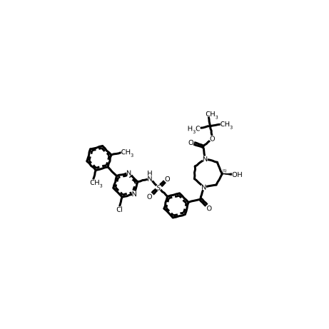 Cc1cccc(C)c1-c1cc(Cl)nc(NS(=O)(=O)c2cccc(C(=O)N3CCN(C(=O)OC(C)(C)C)C[C@@H](O)C3)c2)n1